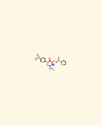 CC(=O)N[C@H](CSC(=O)c1ccccc1)C(=O)Oc1ccc([N+](=O)[O-])cc1